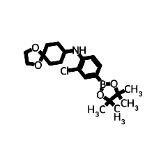 CC1(C)OB(c2ccc(NC3CCC4(CC3)OCCO4)c(Cl)c2)OC1(C)C